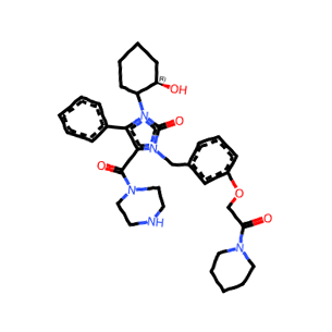 O=C(COc1cccc(Cn2c(C(=O)N3CCNCC3)c(-c3ccccc3)n(C3CCCC[C@H]3O)c2=O)c1)N1CCCCC1